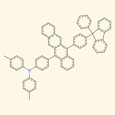 Cc1ccc(N(c2ccc(C)cc2)c2ccc(-c3c4ccccc4c(-c4ccc(C5(c6ccccc6)c6ccccc6-c6ccccc65)cc4)c4cc5ccccc5cc34)cc2)cc1